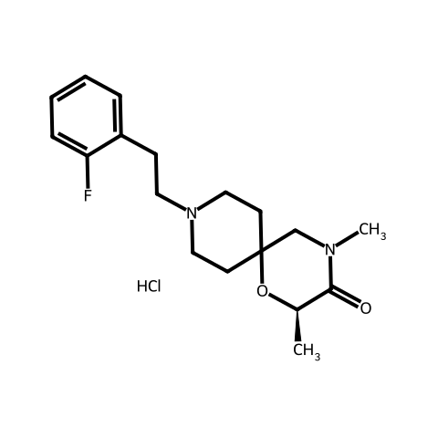 C[C@H]1OC2(CCN(CCc3ccccc3F)CC2)CN(C)C1=O.Cl